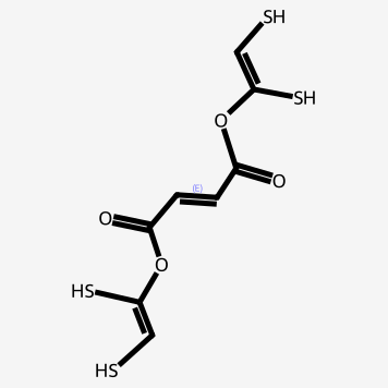 O=C(/C=C/C(=O)OC(S)=CS)OC(S)=CS